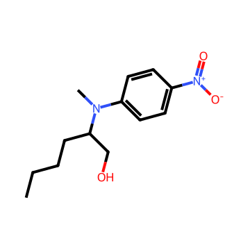 CCCCC(CO)N(C)c1ccc([N+](=O)[O-])cc1